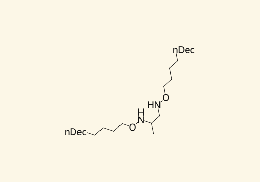 CCCCCCCCCCCCCCONCC(C)NOCCCCCCCCCCCCCC